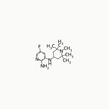 CN1C(C)(C)CC(Nc2cc(F)cnc2N)CC1(C)C